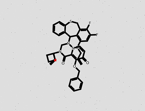 C=CCOc1cc(F)c(F)c2c1C(N1CN(C3(C=C)CCC3)C(=O)c3c(OCc4ccccc4)c(=O)ccn31)c1ccccc1SC2